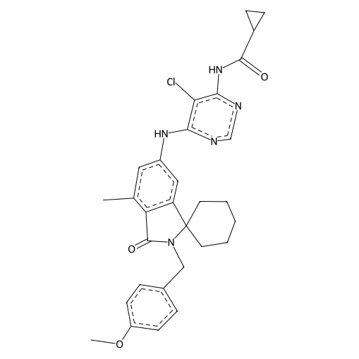 COc1ccc(CN2C(=O)c3c(C)cc(Nc4ncnc(NC(=O)C5CC5)c4Cl)cc3C23CCCCC3)cc1